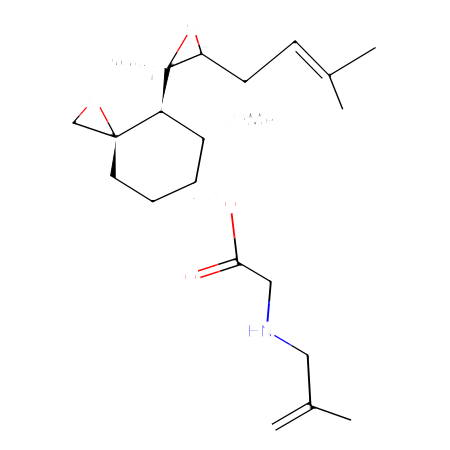 C=C(C)CNCC(=O)O[C@@H]1CC[C@]2(CO2)[C@@H]([C@@]2(C)OC2CC=C(C)C)[C@@H]1OC